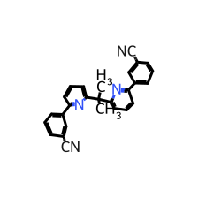 CC(C)(c1cccc(-c2cccc(C#N)c2)n1)c1cccc(-c2cccc(C#N)c2)n1